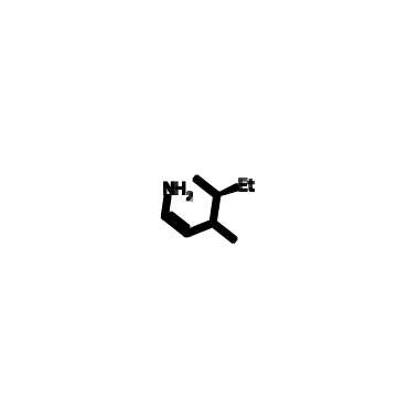 CC[C@H](C)C(C)/C=C\N